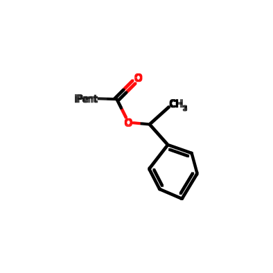 CCCC(C)C(=O)OC(C)c1ccccc1